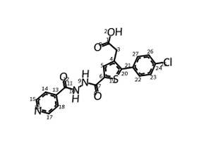 O=C(O)Cc1cc(C(=O)NNC(=O)c2ccncc2)sc1-c1ccc(Cl)cc1